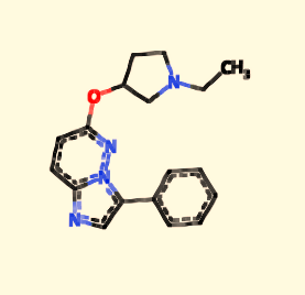 CCN1CCC(Oc2ccc3ncc(-c4ccccc4)n3n2)C1